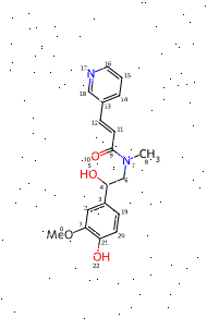 COc1cc(C(O)CN(C)C(=O)C=Cc2cccnc2)ccc1O